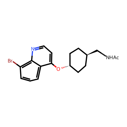 CC(=O)NC[C@H]1CC[C@H](Oc2ccnc3c(Br)cccc23)CC1